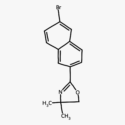 CC1(C)COC(c2ccc3cc(Br)ccc3c2)=N1